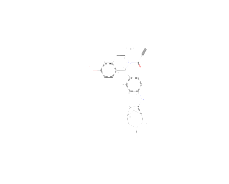 C#CC(=O)N1[C@@H](CCCC)Cc2cc(OC(F)(F)F)ccc2[C@@H]1c1ccc(NC2=C3CC(C)CC(C3)C2)cc1